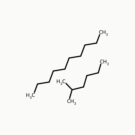 CCCCC(C)C.CCCCCCCCCC